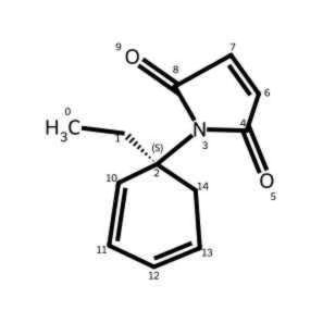 CC[C@@]1(N2C(=O)C=CC2=O)C=CC=CC1